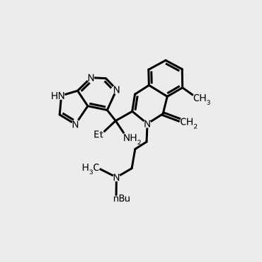 C=C1c2c(C)cccc2C=C(C(N)(CC)c2ncnc3[nH]cnc23)N1CCCN(C)CCCC